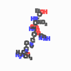 CC[C@]1(O)CC[C@H](CNc2ccc(S(=O)(=O)NC(=O)c3ccc(-c4ccc(N5CCC[C@@H]5c5ccccc5C5CCN(C(=O)C(C)(C)N)CC5)cc4)cc3Oc3cnc4[nH]ccc4c3)cc2[N+](=O)[O-])CC1